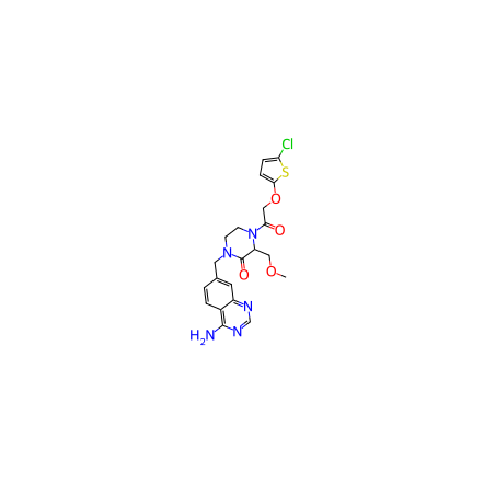 COCC1C(=O)N(Cc2ccc3c(N)ncnc3c2)CCN1C(=O)COc1ccc(Cl)s1